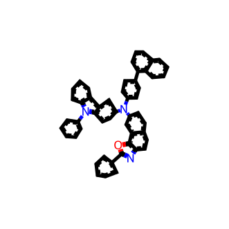 c1ccc(-c2nc3ccc4ccc(N(c5ccc(-c6cccc7ccccc67)cc5)c5ccc6c(c5)c5ccccc5n6-c5ccccc5)cc4c3o2)cc1